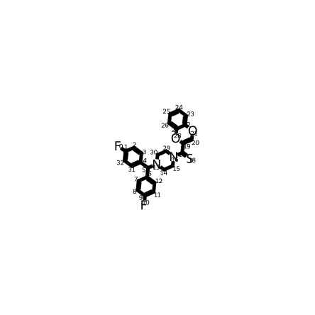 Fc1ccc(C(c2ccc(F)cc2)N2CCN(C(=S)C3=COc4ccccc4O3)CC2)cc1